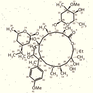 CC[C@H]1OC(=O)[C@H](C)[C@@H](O[C@H]2C[C@@](C)(OC)[C@@H](O)[C@H](C)O2)[C@H](C)[C@@H](O[C@@H]2O[C@H](C)C[C@H](N(C)C)[C@H]2OC(O)Cc2ccc(OC)cc2)[C@](C)(O)C[C@@H](C)CN(C)[C@H](C)[C@@H](O)[C@]1(C)O